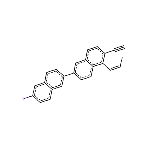 C#Cc1ccc2cc(-c3ccc4cc(I)ccc4c3)ccc2c1/C=C\C